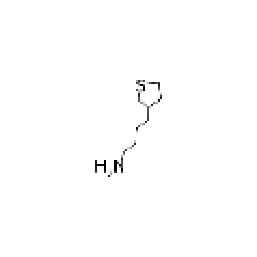 NCCCCC1CCSC1